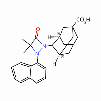 CC1(C)C(=O)N(C2[C@@H]3CC4C[C@@H]2CC(C(=O)O)(C4)C3)N1c1cccc2ccccc12